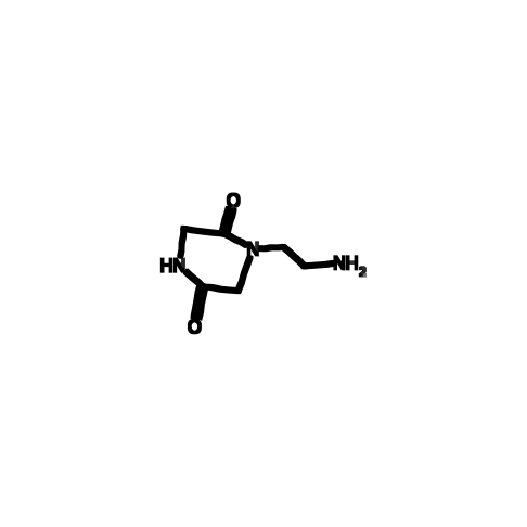 NCCN1CC(=O)NCC1=O